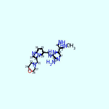 CN/C=C(\C=N)c1cnc(N)c(NCc2ccc3ncc(CN4CCOCC4)n3c2)n1